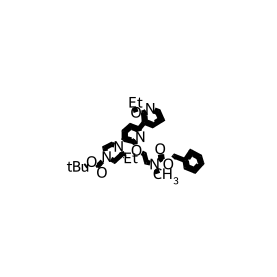 CCOc1ncccc1-c1ccc(N2CCN(C(=O)OC(C)(C)C)C[C@H]2CC)c(OCCN(C)C(=O)OCc2ccccc2)n1